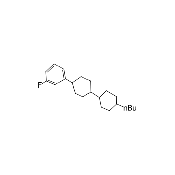 CCCCC1CCC(C2CCC(c3cccc(F)c3)CC2)CC1